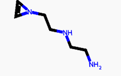 NCCNCCN1C=C1